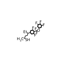 CCC(CCC(C)S)c1cc(F)c(C(F)(F)Oc2cc(F)c(F)c(F)c2)c(F)c1